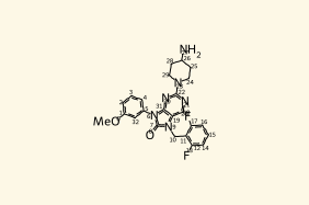 COc1cccc(-n2c(=O)n(Cc3c(F)cccc3F)c3cnc(N4CCC(N)CC4)nc32)c1